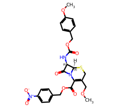 COCC1=C(C(=O)OCc2ccc([N+](=O)[O-])cc2)N2C(=O)[C@@H](NC(=O)OCc3ccc(OC)cc3)[C@H]2SC1